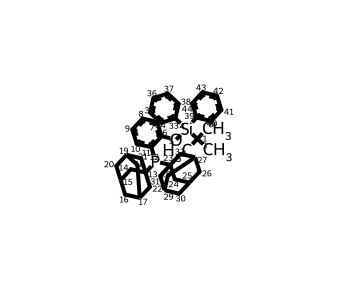 CC(C)(C)[Si](Oc1ccccc1P(C12CC3CC(CC(C3)C1)C2)C12CC3CC(CC(C3)C1)C2)(c1ccccc1)c1ccccc1